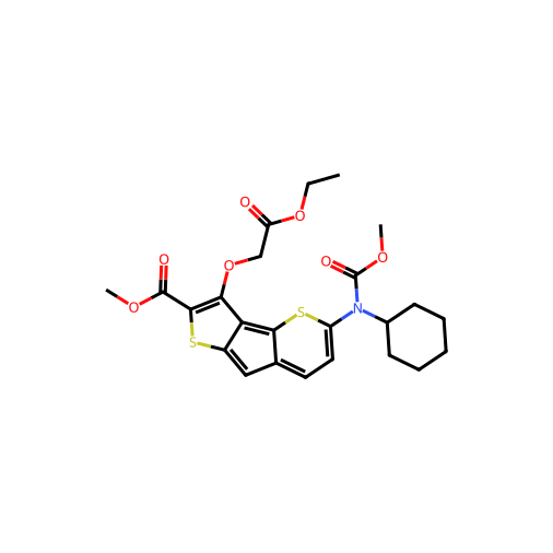 CCOC(=O)COc1c(C(=O)OC)sc2cc3ccc(N(C(=O)OC)C4CCCCC4)sc-3c12